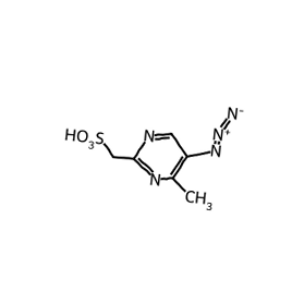 Cc1nc(CS(=O)(=O)O)ncc1N=[N+]=[N-]